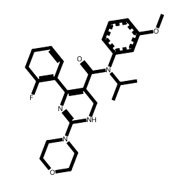 COc1cccc(N(C(=O)C2=C(C3=C(F)CCC=C3)N=C(N3CCOCC3)NC2)C(C)C)c1